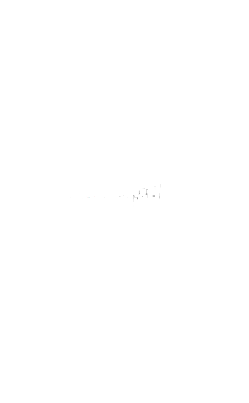 CCCCCCCCCCCCCCCCCCNc1ccc(O)c(O)c1